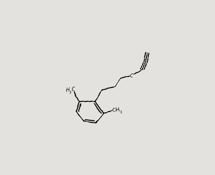 [C]#CCCCCc1c(C)cccc1C